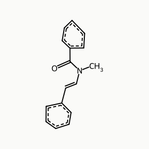 CN(C=Cc1ccccc1)C(=O)c1ccccc1